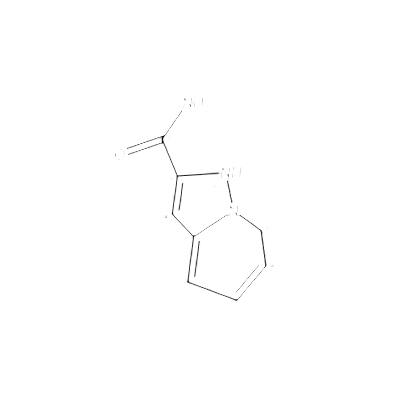 NC(=O)C1=CC2=CC=CCN2N1